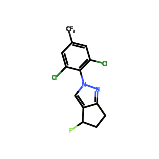 FC1CCc2nn(-c3c(Cl)cc(C(F)(F)F)cc3Cl)cc21